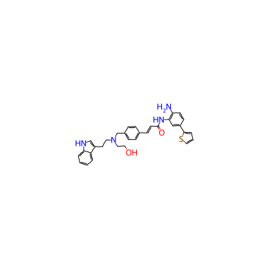 Nc1ccc(-c2cccs2)cc1NC(=O)/C=C/c1ccc(CN(CCO)CCc2c[nH]c3ccccc23)cc1